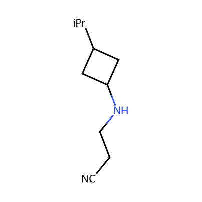 CC(C)C1CC(NCCC#N)C1